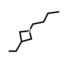 CCCCN1CC(CC)C1